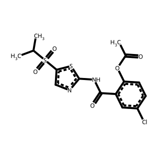 CC(=O)Oc1ccc(Cl)cc1C(=O)Nc1ncc(S(=O)(=O)C(C)C)s1